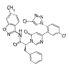 Cc1ccc2c(NC(=O)[C@H](Cc3ccccc3)n3cnc(-c4cc(Cl)ccc4-n4cc(Cl)nn4)cc3=O)noc2c1